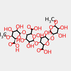 CO[C@@H]1OC[C@@H](O[C@@H]2OC(C(=O)O)[C@@H](O[C@@H]3OC(C(=O)O)[C@@H](O[C@@H]4O[C@@H](C(=O)O)[C@@H](OC)C(O)C4O)[C@H](O)C3O)C(O)C2O)[C@@H](O)C1O